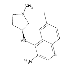 CN1CC[C@H](Nc2c(N)cnc3ccc(I)cc23)C1